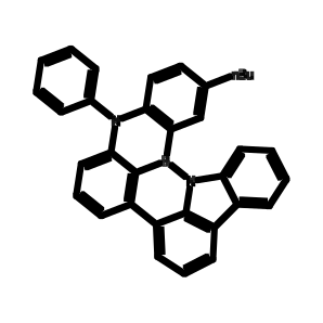 CCCCc1ccc2c(c1)B1c3c(cccc3N2c2ccccc2)-c2cccc3c4ccccc4n1c23